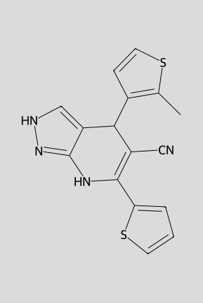 Cc1sccc1C1C(C#N)=C(c2cccs2)Nc2n[nH]cc21